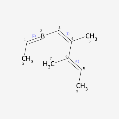 C\C=B/C=C(C)\C(C)=C\C